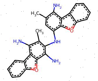 Cc1cc(Nc2c(C)c(N)c3c(oc4ccccc43)c2N)c2oc3ccccc3c2c1N